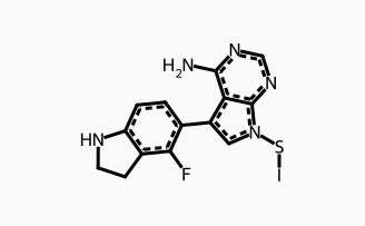 Nc1ncnc2c1c(-c1ccc3c(c1F)CCN3)cn2SI